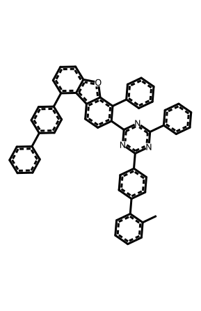 Cc1ccccc1-c1ccc(-c2nc(-c3ccccc3)nc(-c3ccc4c(oc5cccc(-c6ccc(-c7ccccc7)cc6)c54)c3-c3ccccc3)n2)cc1